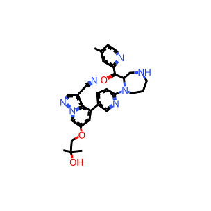 Cc1ccnc(C(=O)C2CNCCCN2c2ccc(-c3cc(OCC(C)(C)O)cn4ncc(C#N)c34)cn2)c1